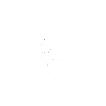 Cc1cc2sc(F)c(C)c2s1